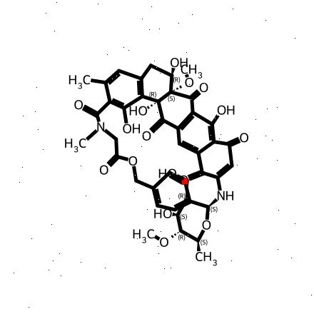 CO[C@@H]1[C@@H](O)[C@@H](CO)[C@@H](NC2=CC(=O)c3c(cc4c(c3O)C(=O)[C@]3(OC)[C@H](O)Cc5cc(C)c(C(=O)N(C)CC(=O)OCc6ccccc6)c(O)c5[C@]3(O)C4=O)C2=O)O[C@H]1C